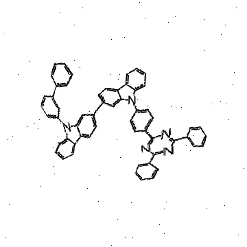 c1ccc(-c2cccc(-n3c4ccccc4c4ccc(-c5ccc6c7ccccc7n(-c7ccc(-c8nc(-c9ccccc9)nc(-c9ccccc9)n8)cc7)c6c5)cc43)c2)cc1